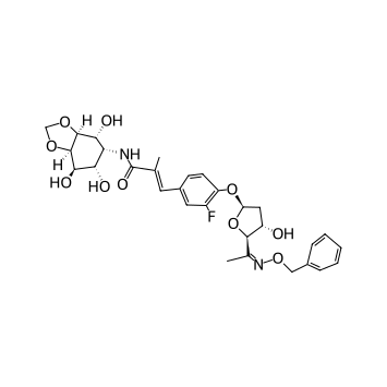 C/C(=N/OCc1ccccc1)[C@H]1O[C@@H](Oc2ccc(/C=C(\C)C(=O)N[C@@H]3[C@H](O)[C@@H](O)[C@H]4OCO[C@H]4[C@@H]3O)cc2F)C[C@@H]1O